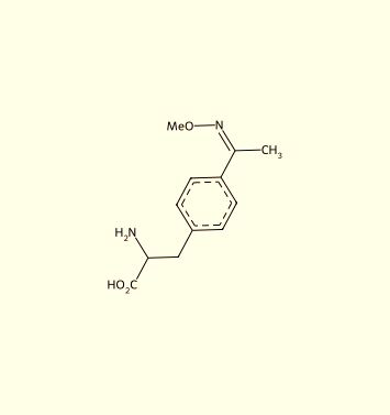 CO/N=C(/C)c1ccc(CC(N)C(=O)O)cc1